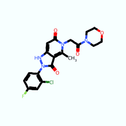 Cc1c2c(=O)n(-c3ccc(F)cc3Cl)[nH]c2cc(=O)n1CC(=O)N1CCOCC1